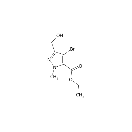 CCOC(=O)c1c(Br)c(CO)nn1C